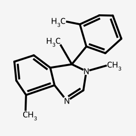 Cc1ccccc1C1(C)c2cccc(C)c2N=CN1C